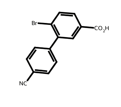 N#Cc1ccc(-c2cc(C(=O)O)ccc2Br)cc1